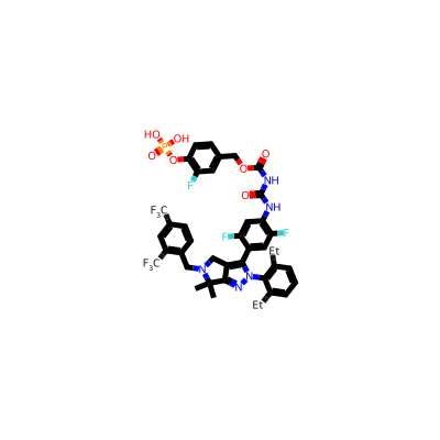 CCc1cccc(CC)c1-n1nc2c(c1-c1cc(F)c(NC(=O)NC(=O)OCc3ccc(OP(=O)(O)O)c(F)c3)cc1F)CN(Cc1ccc(C(F)(F)F)cc1C(F)(F)F)C2(C)C